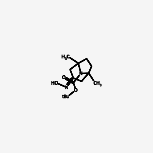 CC(C)(C)OC(=O)N1C2(C)CCC1(C)CC(=NO)C2